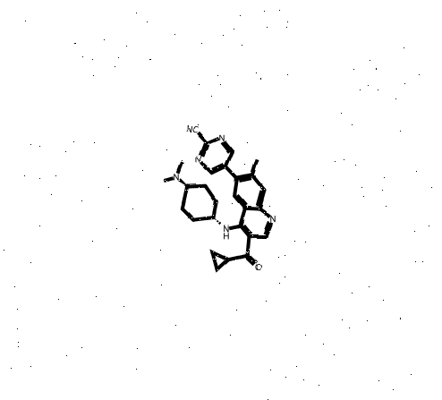 Cc1cc2ncc(C(=O)C3CC3)c(N[C@H]3CC[C@H](N(C)C)CC3)c2cc1-c1cnc(C#N)nc1